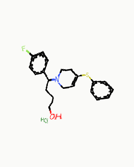 Cl.OCCCC(c1ccc(F)cc1)N1CC=C(Sc2ccccc2)CC1